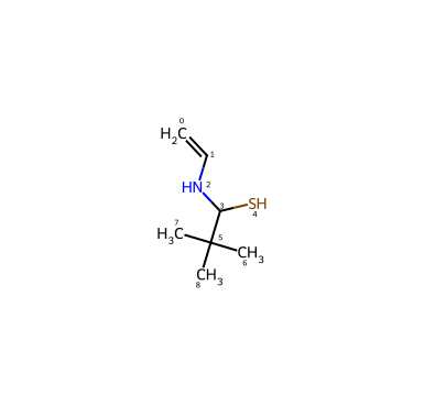 C=CNC(S)C(C)(C)C